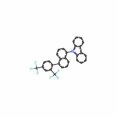 FC(F)(F)c1ccc(-c2cccc3c(-n4c5ccccc5c5ccccc54)cccc23)c(C(F)(F)F)c1